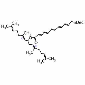 CCCCCCCCCCCC=CC=CC=CC=CC=CC(=O)OC(/C=C(\C)CCC=C(C)C)C/C=C(\C)CCC=C(C)C